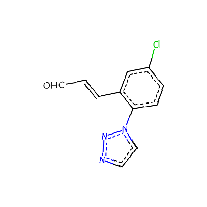 O=CC=Cc1cc(Cl)ccc1-n1ccnn1